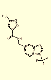 Cc1cc(C(=O)NCc2ccc3c(ccn3C(F)(F)F)c2)on1